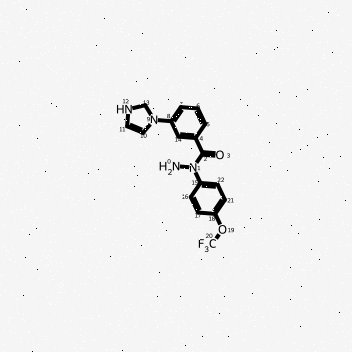 NN(C(=O)c1cccc(N2C=CNC2)c1)c1ccc(OC(F)(F)F)cc1